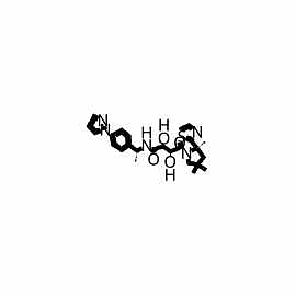 C[C@@H](NC(=O)[C@H](O)[C@@H](O)C(=O)N1CC(C)(C)C[C@]1(C)c1nccs1)c1ccc(-n2cccn2)cc1